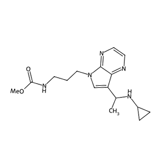 COC(=O)NCCCn1cc(C(C)NC2CC2)c2nccnc21